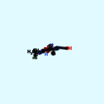 CC1(C)CCC(CN2CCN(c3ccc(C(=O)NS(=O)(=O)c4ccc(N[C@H](CCN5CCN(CCCCCCCCO)CC5)CSc5ccccc5)c(S(=O)(=O)C(F)(F)F)c4)cc3)CC2)=C(C23CC(C(F)F)(C2)C3)C1